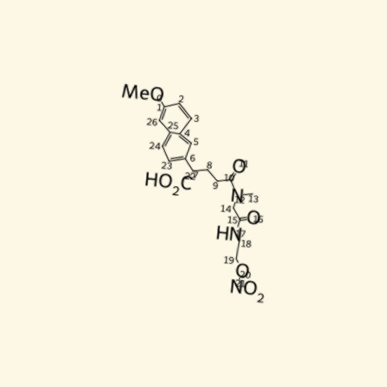 COc1ccc2cc([C@H](CCC(=O)N(C)CC(=O)NCCO[N+](=O)[O-])C(=O)O)ccc2c1